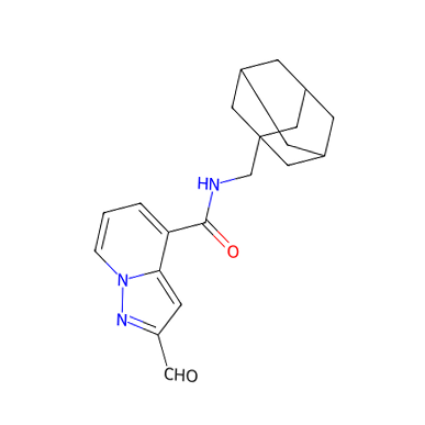 O=Cc1cc2c(C(=O)NCC34CC5CC(CC(C5)C3)C4)cccn2n1